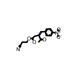 CC(=O)/C(=C\c1ccc([N+](=O)[O-])cc1)CC(=O)OCCC#N